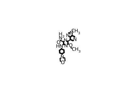 CCOc1nc(Nc2ccc(N3CCOCC3)cc2)c(C(N)=O)nc1-c1cncc2c1ncn2C